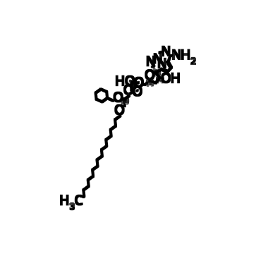 CCCCCCCCCCCCCCCCCCOC[C@H](COP(=O)(O)OC[C@@H]1C[C@@H](O)[C@](C#N)(c2ccc3c(N)ncnn23)O1)OCC1CCCCC1